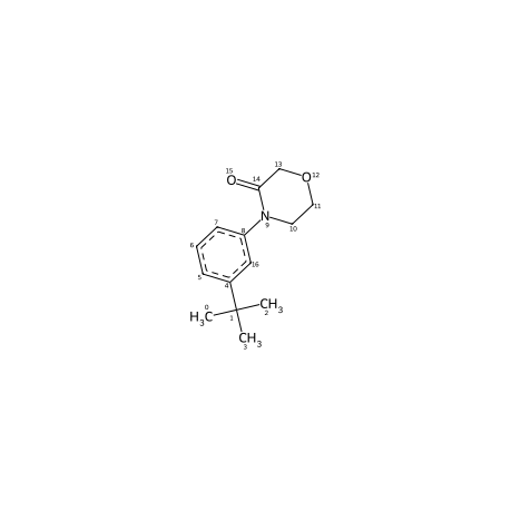 CC(C)(C)c1cccc(N2CCOCC2=O)c1